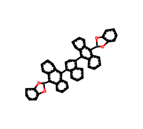 c1ccc2c(c1)OB(c1c3ccccc3c(-c3ccc(-c4c5ccccc5c(B5Oc6ccccc6O5)c5ccccc45)c4ccccc34)c3ccccc13)O2